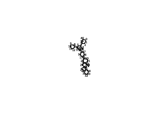 c1ccc(-c2cc(-c3ccccc3)nc(-c3ccc(-c4ccc5nc6c(cc5c4)sc4ccccc46)cc3)n2)cc1